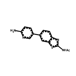 CC(=O)Nc1nc2ccc(-c3ccc(N)nc3)cc2s1